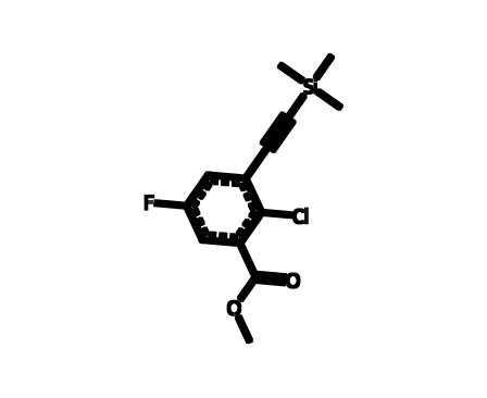 COC(=O)c1cc(F)cc(C#C[Si](C)(C)C)c1Cl